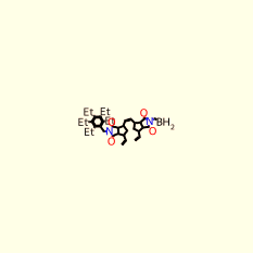 BCN1C(=O)C2C(C=C)CC(/C=C\C3CC(C=C)C4C(=O)N(Cc5c(CC)c(CC)c(CC)c(CC)c5CC)C(=O)C34)C2C1=O